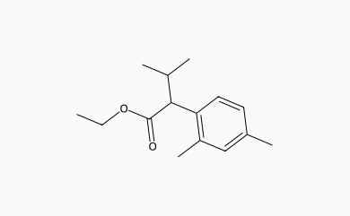 CCOC(=O)C(c1ccc(C)cc1C)C(C)C